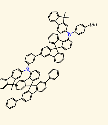 CC(C)(C)c1ccc(N(c2ccc3c(c2)C(C)(C)c2ccccc2-3)c2cccc3c2-c2ccccc2C32c3ccccc3-c3cc(-c4cccc(N(c5ccc6c(c5)C(C)(C)c5ccccc5-6)c5cccc6c5-c5ccccc5C65c6cc(-c7ccccc7)ccc6-c6ccc(-c7ccccc7)cc65)c4)ccc32)cc1